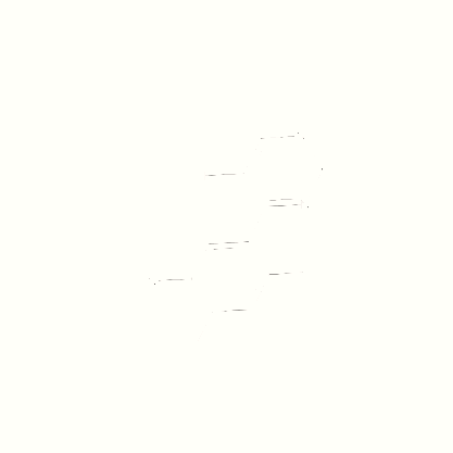 Nc1cc(-c2ncnc(C(F)(F)F)c2Cl)c(F)cc1Cl